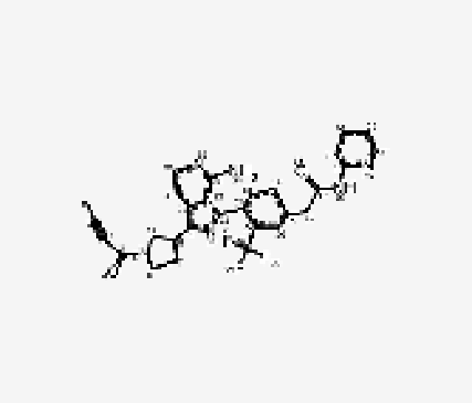 CC#CC(=O)N1CCC(c2nc(-c3ccc(CC(=O)Nc4ccccn4)cc3C(F)(F)F)n3c(N)nccc23)C1